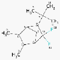 CC1C(C)C2CC1C(C(C)(C)C(F)(F)F)C2(F)F